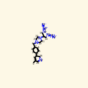 CC1=CC(C2C=CC(CN3CCN(C(CN=[N+]=[N-])CN=[N+]=[N-])CC3)=CC2)CN=C1